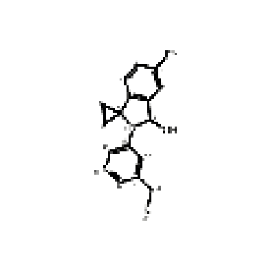 OC1c2cc(F)ccc2C2(CC2)N1c1cncc(CCl)c1